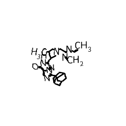 C=N/C(CN1CC(C)C(c2nn3c(C45CC6CC(CC(C6)C4)C5)ncc3c(=O)[nH]2)C1)=N\C=C/C